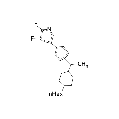 CCCCCCC1CCC(C(C)c2ccc(-c3cnc(F)c(F)c3)cc2)CC1